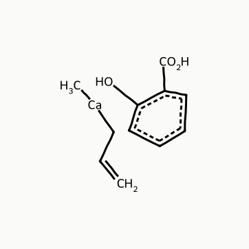 C=C[CH2][Ca][CH3].O=C(O)c1ccccc1O